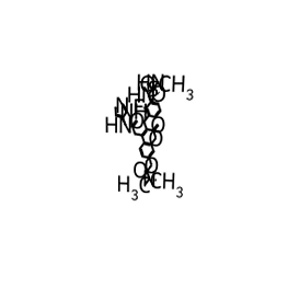 CNS(=O)(=O)Nc1cccc(Cc2c(CC(=O)Nc3ccn[nH]3)c3ccc(OC(=O)N(C)C)cc3oc2=O)c1F